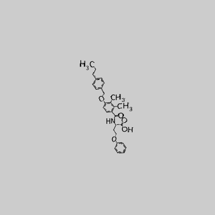 CCCc1ccc(COc2ccc(C(=O)NC(CCOc3ccccc3)C(=O)O)c(C)c2C)cc1